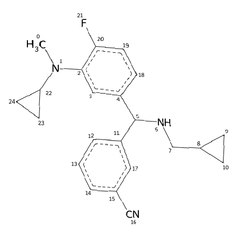 CN(c1cc(C(NCC2CC2)c2cccc(C#N)c2)ccc1F)C1CC1